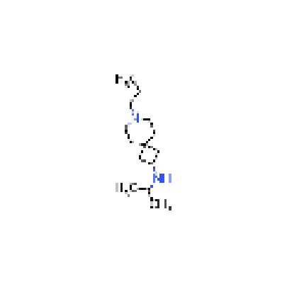 CCCN1CCC2(CC1)CC(NC(C)C)C2